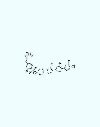 C=CCCc1ccc(C(F)(F)OC2CCC(c3ccc(-c4ccc(-c5ccc(Cl)c(F)c5)c(F)c4)c(F)c3)CC2)c(F)c1